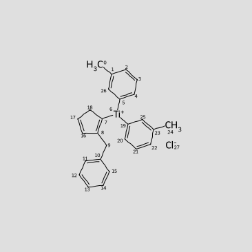 Cc1ccc[c]([Ti+]([C]2=C(Cc3ccccc3)C=CC2)[c]2cccc(C)c2)c1.[Cl-]